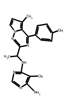 Cc1ccn2nc(C(C)Nc3ncnc(N)c3C#N)nc(-c3ccc(O)cc3)c12